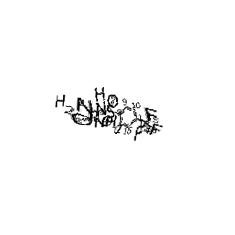 NP(N)(=O)NS(=O)(=O)c1ccc(C(F)(F)F)cc1